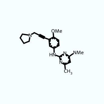 CNc1cc(C)nc(Nc2ccc(OC)c(C#CCN3CCCC3)c2)n1